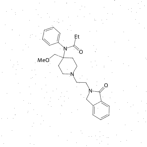 CCC(=O)N(c1ccccc1)C1(COC)CCN(CCN2Cc3ccccc3C2=O)CC1